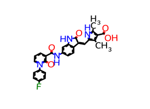 Cc1[nH]c(C=C2C(=O)Nc3cc(NC(=O)c4cccn(-c5ccc(F)cc5)c4=O)ccc32)c(C)c1C(=O)O